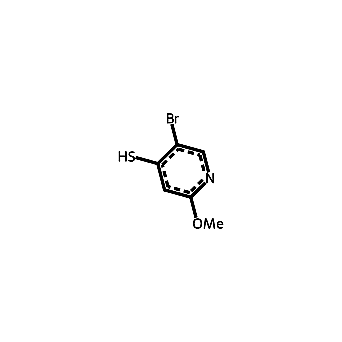 COc1cc(S)c(Br)cn1